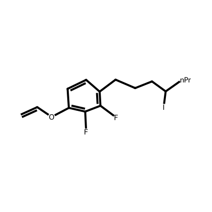 C=COc1ccc(CCCC(I)CCC)c(F)c1F